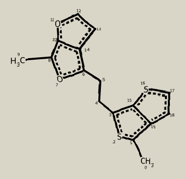 Cc1sc(CCc2oc(C)c3occc23)c2sccc12